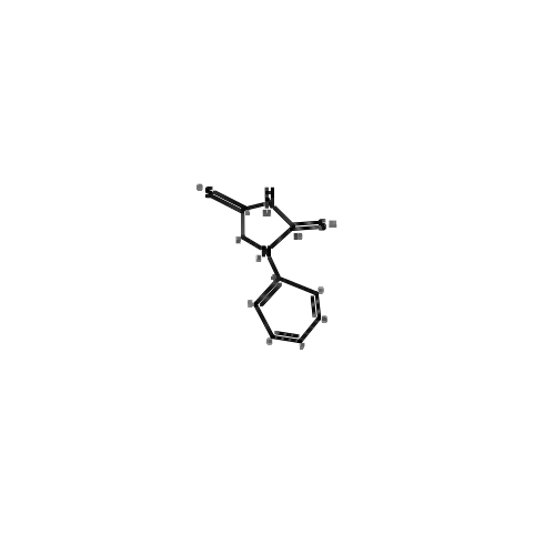 S=C1CN(c2ccccc2)C(=S)N1